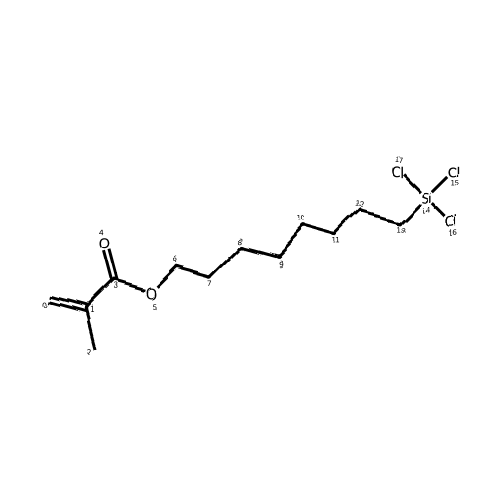 C=C(C)C(=O)OCCCCCCCC[Si](Cl)(Cl)Cl